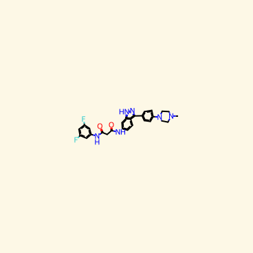 CN1CCN(c2ccc(-c3n[nH]c4cc(NC(=O)CC(=O)Nc5cc(F)cc(F)c5)ccc34)cc2)CC1